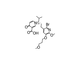 COCCCOc1cc(CC[C@@H](C(C)C)n2ccc(=O)c(C(=O)O)c2)c(Br)nc1OC